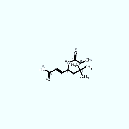 CC(C)(C)CC(/C=C/C(=O)O)OC(=O)CCl